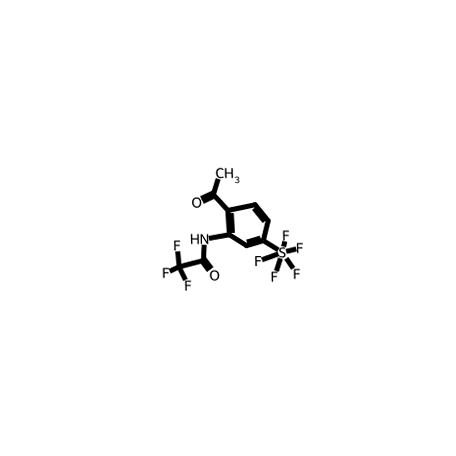 CC(=O)c1ccc(S(F)(F)(F)(F)F)cc1NC(=O)C(F)(F)F